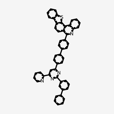 c1ccc(-c2cccc(-c3nc(-c4ccc(-c5ccc(-c6nc7ccccc7c7c6ccc6c8ccccc8sc67)cc5)cc4)cc(-c4ccccn4)n3)c2)cc1